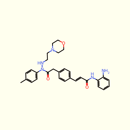 Cc1ccc(N(NCCN2CCOCC2)C(=O)Cc2ccc(/C=C/C(=O)Nc3ccccc3N)cc2)cc1